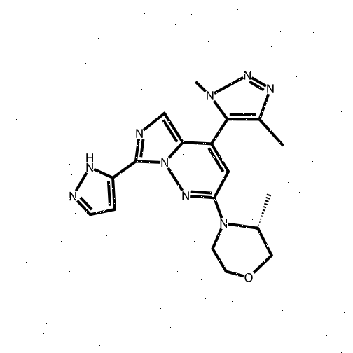 Cc1nnn(C)c1-c1cc(N2CCOC[C@H]2C)nn2c(-c3ccn[nH]3)ncc12